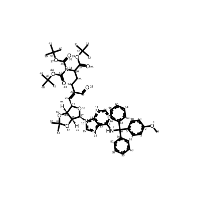 COc1ccc(C(Nc2ncnc3c2ncn3[C@@H]2O[C@H](C=C(C=O)CCC(C(=O)OC(C)(C)C)N(C(=O)OC(C)(C)C)C(=O)OC(C)(C)C)[C@H]3OC(C)(C)O[C@H]32)(c2ccccc2)c2ccccc2)cc1